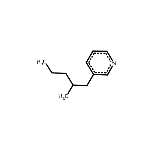 CCCC(C)Cc1cccnc1